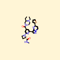 CCC(CNC(=O)c1cc(-c2cnn3ccc(-c4cccs4)nc23)nc(N2CC[C@H]2C(=O)NC)c1)N(CC)CC